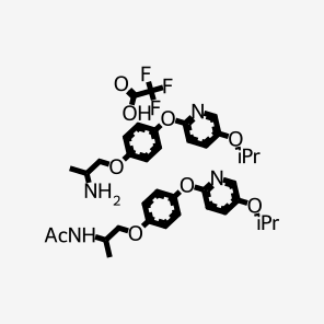 CC(=O)NC(C)COc1ccc(Oc2ccc(OC(C)C)cn2)cc1.CC(N)COc1ccc(Oc2ccc(OC(C)C)cn2)cc1.O=C(O)C(F)(F)F